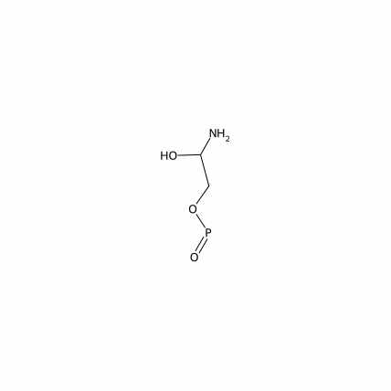 NC(O)COP=O